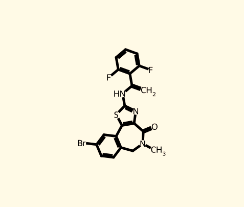 C=C(Nc1nc2c(s1)-c1cc(Br)ccc1CN(C)C2=O)c1c(F)cccc1F